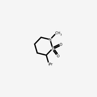 CC(C)C1CCCN(C)S1(=O)=O